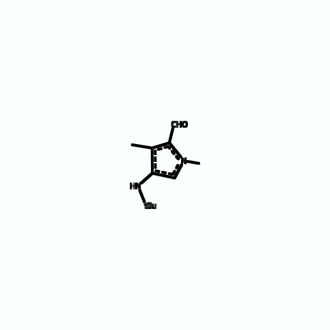 Cc1c(NC(C)(C)C)cn(C)c1C=O